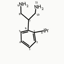 CC(C)c1ccccc1C(CN)CN